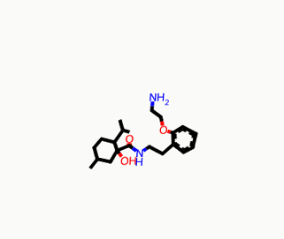 CC1CCC(C(C)C)C(O)(C(=O)NCCc2ccccc2OCCN)C1